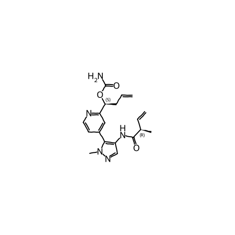 C=CC[C@H](OC(N)=O)c1cc(-c2c(NC(=O)[C@H](C)C=C)cnn2C)ccn1